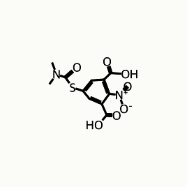 CN(C)C(=O)Sc1cc(C(=O)O)c([N+](=O)[O-])c(C(=O)O)c1